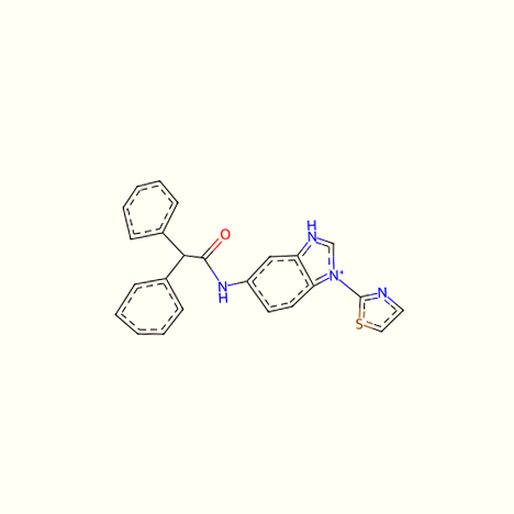 O=C(Nc1ccc2c(c1)[nH]c[n+]2-c1nccs1)C(c1ccccc1)c1ccccc1